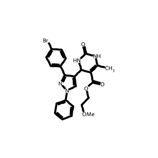 COCCOC(=O)C1=C(C)NC(=O)NC1c1cn(-c2ccccc2)nc1-c1ccc(Br)cc1